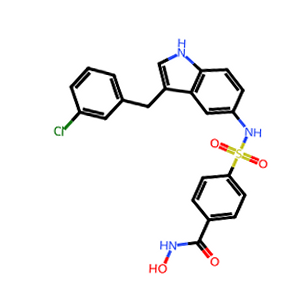 O=C(NO)c1ccc(S(=O)(=O)Nc2ccc3[nH]cc(Cc4cccc(Cl)c4)c3c2)cc1